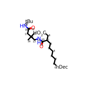 CCCCCCCCCCCCCCCCC(CC(=O)O)C(=O)NCC(C)(C)CC(=O)NC(C)(C)C